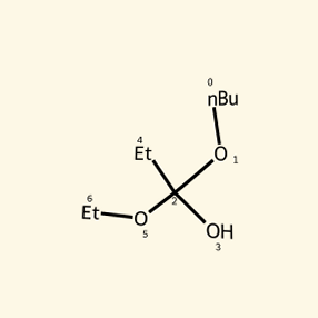 CCCCOC(O)(CC)OCC